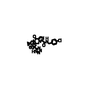 CC(C)(c1nnn[nH]1)S(=O)(=O)C1(CN2CCn3c(cnc3C(=O)NCc3ccc(Cl)cc3)C2=O)CC1